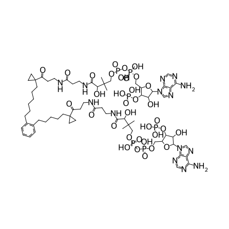 CC(C)(COP(=O)(O)OP(=O)(O)OCC1OC(n2cnc3c(N)ncnc32)C(O)C1OP(=O)(O)O)C(O)C(=O)NCCC(=O)NCCC(=O)C1(CCCCCCc2ccccc2CCCCCC2(C(=O)CCNC(=O)CCNC(=O)C(O)C(C)(C)COP(=O)(O)OP(=O)(O)OCC3OC(n4cnc5c(N)ncnc54)C(O)C3OP(=O)(O)O)CC2)CC1